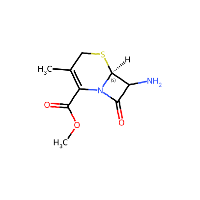 COC(=O)C1=C(C)CS[C@H]2C(N)C(=O)N12